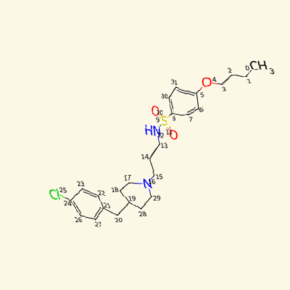 CCCCOc1ccc(S(=O)(=O)NCCCN2CCC(Cc3ccc(Cl)cc3)CC2)cc1